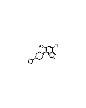 CC(=O)c1cc(Cl)c2cncn2c1N1CCN(C2CCC2)CC1